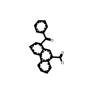 O=C(Cl)c1cc2c(C(=O)c3ccccc3)cccc2c2ccccc12